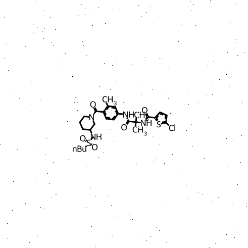 CCCCS(=O)(=O)NC1CCCN(C(=O)c2ccc(NC(=O)C(C)(C)NC(=O)c3ccc(Cl)s3)cc2C)C1